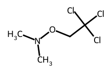 CN(C)OCC(Cl)(Cl)Cl